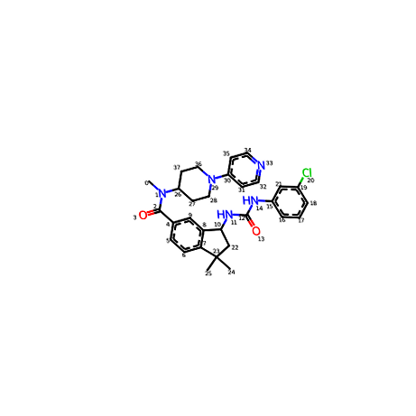 CN(C(=O)c1ccc2c(c1)C(NC(=O)Nc1cccc(Cl)c1)CC2(C)C)C1CCN(c2ccncc2)CC1